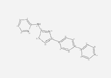 c1ccc(Nc2nc(-c3ccc(-c4ccncc4)cc3)cs2)nc1